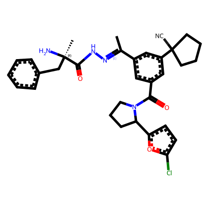 C/C(=N\NC(=O)[C@](C)(N)Cc1ccccc1)c1cc(C(=O)N2CCCC2c2ccc(Cl)o2)cc(C2(C#N)CCCC2)c1